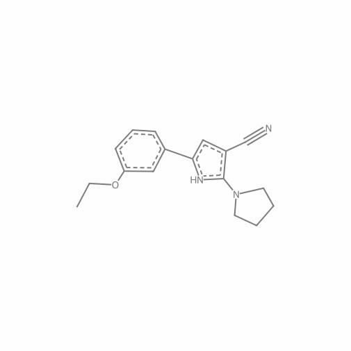 CCOc1cccc(-c2cc(C#N)c(N3CCCC3)[nH]2)c1